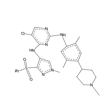 Cc1cc(C2CCN(C)CC2)c(C)cc1Nc1ncc(Cl)c(Nc2cn(C)nc2S(=O)(=O)C(C)C)n1